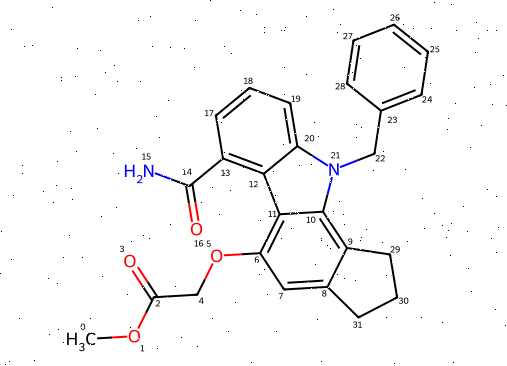 COC(=O)COc1cc2c(c3c1c1c(C(N)=O)cccc1n3Cc1ccccc1)CCC2